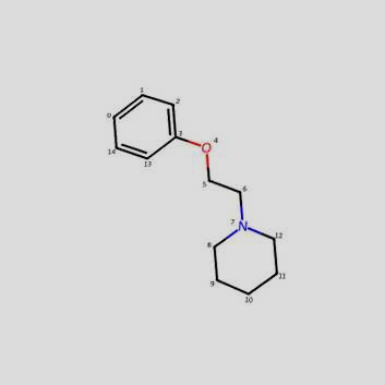 c1ccc(OCCN2CCCCC2)cc1